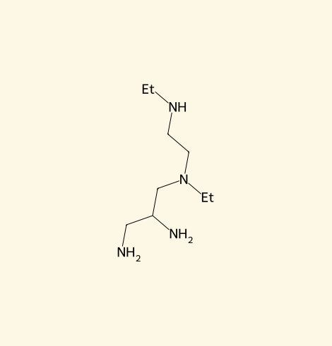 CCNCCN(CC)CC(N)CN